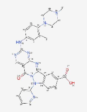 Cc1cc(Nc2ncc3c(=O)n4c(nc3n2)c2cc(C(=O)O)ccc2n4-c2ccccn2)ccc1N1CCN(C)CC1